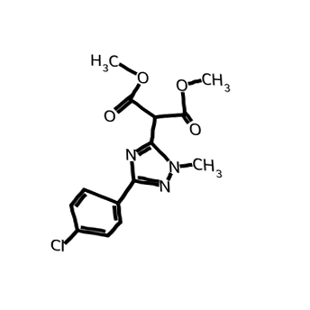 COC(=O)C(C(=O)OC)c1nc(-c2ccc(Cl)cc2)nn1C